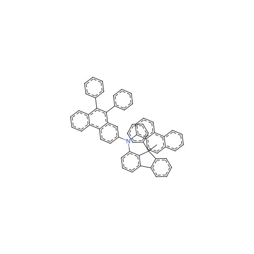 CC1(c2ccccc2)c2ccccc2-c2cccc(N(c3ccc4c(c3)c(-c3ccccc3)c(-c3ccccc3)c3ccccc34)c3cccc4c3ccc3ccccc34)c21